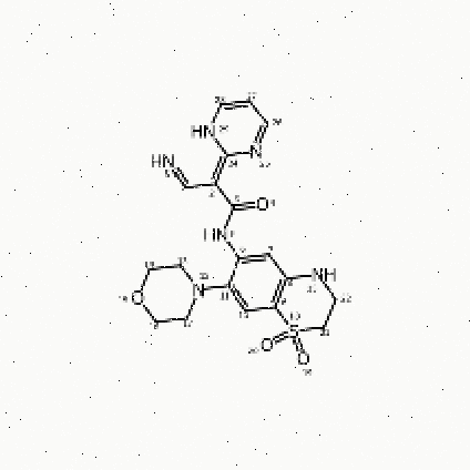 N=C/C(C(=O)Nc1cc2c(cc1N1CCOCC1)S(=O)(=O)CCN2)=C1/N=CC=CN1